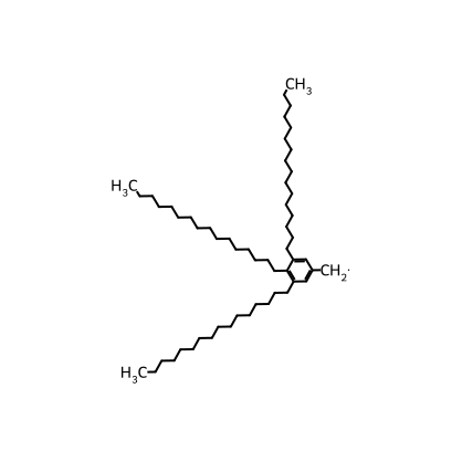 [CH2]c1cc(CCCCCCCCCCCCCCCC)c(CCCCCCCCCCCCCCCC)c(CCCCCCCCCCCCCCCC)c1